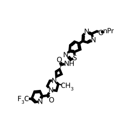 CCCOCc1ncc(-c2ccc3nc(NC(=O)[C@H]4C[C@@H](N5CCN(C(=O)c6ccc(C(F)(F)F)cn6)C[C@@H]5C)C4)sc3c2)cn1